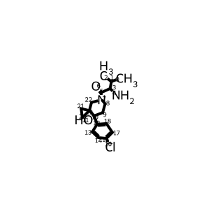 CC(C)C(N)C(=O)N1CCC(O)(c2ccc(Cl)cc2)C2(CC2)C1